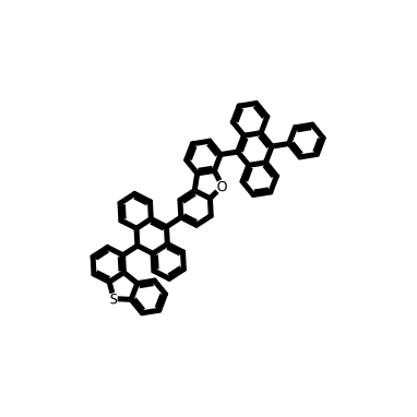 C1=CC2=C(C3=CCC4Oc5c(cccc5-c5c6ccccc6c(-c6ccccc6)c6ccccc56)C4=C3)c3ccccc3C(c3cccc4sc5ccccc5c34)C2C=C1